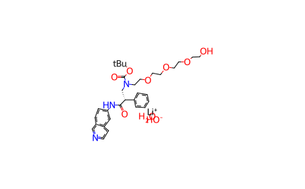 CC(C)(C)OC(=O)N(CCOCCOCCOCCO)C[C@@H](C(=O)Nc1ccc2cnccc2c1)c1ccccc1.O.[Li+].[OH-]